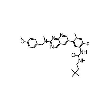 COc1ccc(CN(C)c2ncc3cc(-c4cc(NC(=O)NCCC(C)(C)C)c(F)cc4C)cnc3n2)cc1